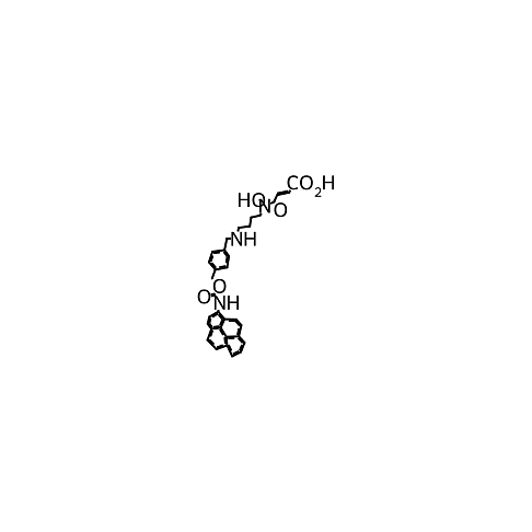 O=C(O)/C=C/C(=O)N(O)CCCCNCc1ccc(COC(=O)Nc2ccc3ccc4cccc5ccc2c3c45)cc1